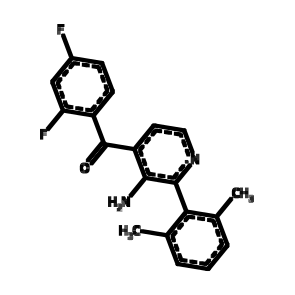 Cc1cccc(C)c1-c1nccc(C(=O)c2ccc(F)cc2F)c1N